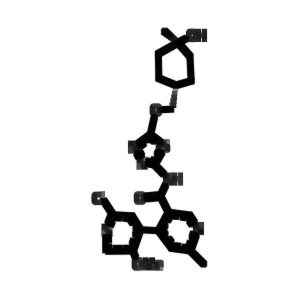 COc1cnc(Cl)cc1-c1cc(C)ncc1C(=O)Nc1nnc(OC[C@H]2CC[C@@](C)(O)CC2)s1